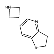 C1CNC1.c1cnc2c(c1)SCC2